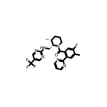 Cc1cc(-c2ncccn2)c(C(=O)N2CCC[C@@H](C)[C@H]2CNc2ncc(C(F)(F)F)cn2)cc1F